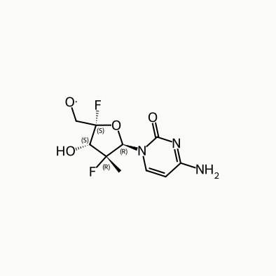 C[C@]1(F)[C@H](n2ccc(N)nc2=O)O[C@](F)(C[O])[C@H]1O